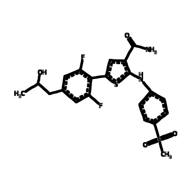 CC(O)Cc1cc(F)c(-c2cc(C(N)=O)c(Nc3ccc(S(C)(=O)=O)cc3)s2)c(F)c1